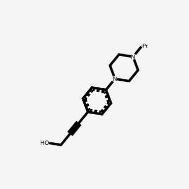 CC(C)N1CCN(c2ccc(C#CCO)cc2)CC1